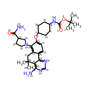 CC(C)(C)OC(=O)NC1CCC(Oc2ccc3c(c2N2CCC(C(N)=O)C2)CC(C)(C)c2c(N)ncnc2-3)CC1